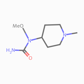 CON(C(N)=O)C1CCN(C)CC1